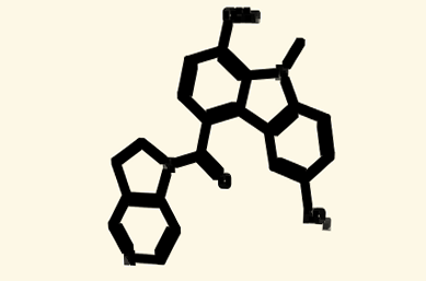 COc1ccc(C(=O)N2CCc3cnccc32)c2c3cc([N+](=O)[O-])ccc3n(C)c12